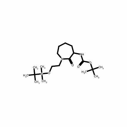 CC(C)(C)OC(=O)NC1CCCCN(CCO[Si](C)(C)C(C)(C)C)C1=O